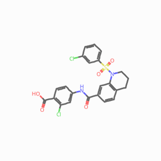 O=C(Nc1ccc(C(=O)O)c(Cl)c1)c1ccc2c(c1)N(S(=O)(=O)c1cccc(Cl)c1)CCC2